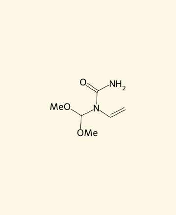 C=CN(C(N)=O)C(OC)OC